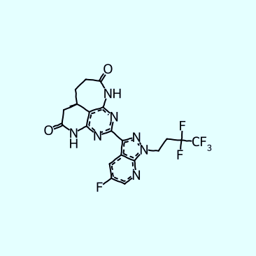 CC12CCC(=O)Nc3nc(-c4nn(CCC(F)(F)C(F)(F)F)c5ncc(F)cc45)nc(c31)NC(=O)C2